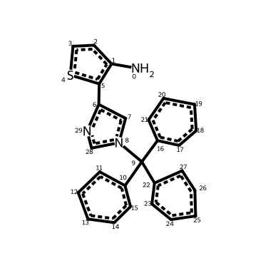 Nc1ccsc1-c1cn(C(c2ccccc2)(c2ccccc2)c2ccccc2)cn1